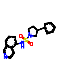 O=S(=O)(Nc1cccc2cnccc12)N1CCC(c2ccccc2)C1